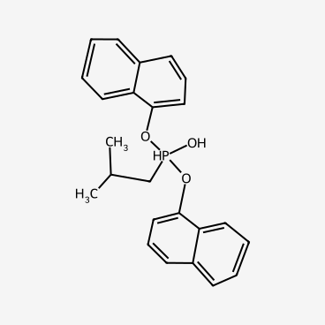 CC(C)C[PH](O)(Oc1cccc2ccccc12)Oc1cccc2ccccc12